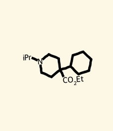 CCOC(=O)C1(C2CCCCC2)CCN(C(C)C)CC1